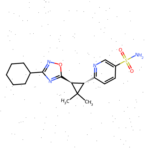 CC1(C)[C@@H](c2ccc(S(N)(=O)=O)cn2)[C@@H]1c1nc(C2CCCCC2)no1